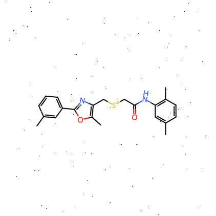 Cc1cccc(-c2nc(CSCC(=O)Nc3cc(C)ccc3C)c(C)o2)c1